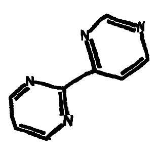 [c]1ccnc(-c2ccncn2)n1